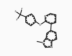 Cn1cnc2ccc(-c3cccnc3Oc3ccc(C(F)(F)F)cc3)cc21